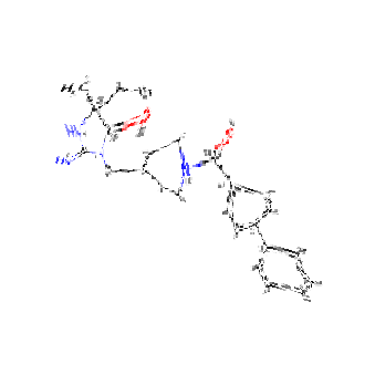 CC(C)CC1(C)NC(=N)N(CC2CCN(C(=O)c3ccc(-c4ccccc4)cc3)CC2)C1=O